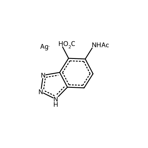 CC(=O)Nc1ccc2[nH]nnc2c1C(=O)O.[Ag]